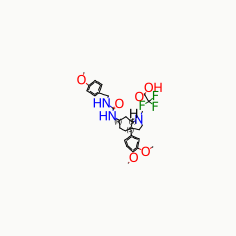 COc1ccc(CNC(=O)N[C@@H]2CC[C@@]3(c4ccc(OC)c(OC)c4)CCN(C)[C@H]3C2)cc1.O=C(O)C(F)(F)F